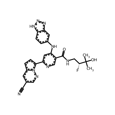 CC(C)(O)[C@H](F)CNC(=O)c1cnc(-c2ccc3cc(C#N)cnn23)cc1Nc1ccc2[nH]nnc2c1